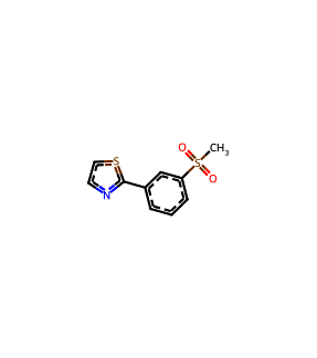 CS(=O)(=O)c1cccc(-c2nccs2)c1